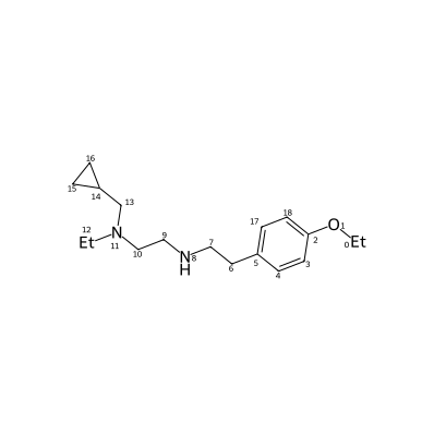 CCOc1ccc(CCNCCN(CC)CC2CC2)cc1